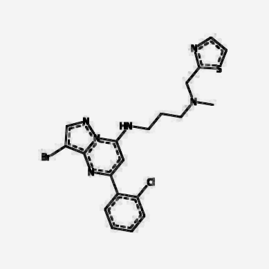 CN(CCCNc1cc(-c2ccccc2Cl)nc2c(Br)cnn12)Cc1nccs1